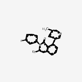 CCc1cc2cccc(-c3cncc(C)c3)c2c(=O)n1-c1cccc(F)c1